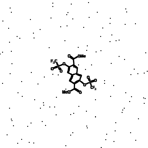 COC(=O)c1cc2cc(OS(=O)(=O)C(F)(F)F)c(C(=O)OC)cc2cc1OS(=O)(=O)C(F)(F)F